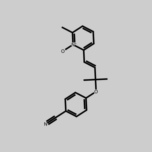 Cc1cccc(/C=C/C(C)(C)Oc2ccc(C#N)cc2)[n+]1[O-]